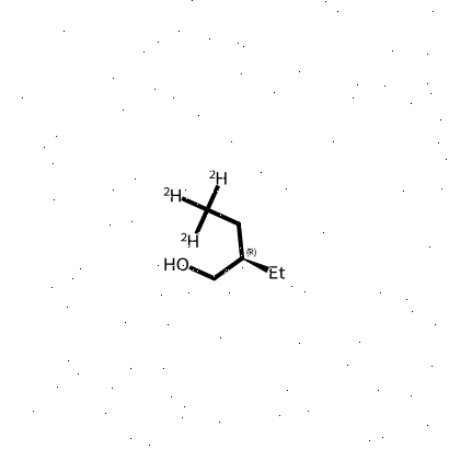 [2H]C([2H])([2H])C[C@@H](CC)CO